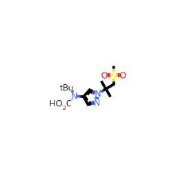 CC(C)(C)N(C(=O)O)c1cnn(C(C)(C)CS(C)(=O)=O)c1